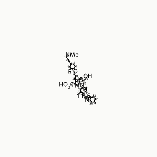 CNCC#Cc1ccc(OCCCc2sc(N(CC(O)CO)c3cc(C)c(Nc4nc5ccccc5s4)nn3)nc2C(=O)O)c(F)c1